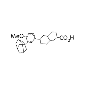 COc1ccc(C2CCC3CC(C(=O)O)CCC3C2)cc1C12CC3CC(CC(C3)C1)C2